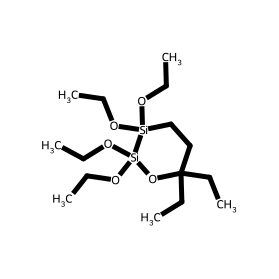 CCO[Si]1(OCC)CCC(CC)(CC)O[Si]1(OCC)OCC